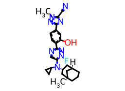 Cn1nc(-c2ccc(-c3ncc(N(C4CC4)[C@H]4C[C@]5(C)CCC[C@@H](C5)[C@H]4F)nn3)c(O)c2)nc1C#N